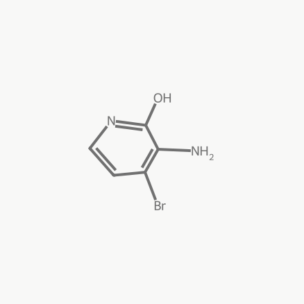 Nc1c(Br)ccnc1O